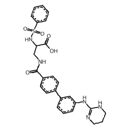 O=C(NCC(NS(=O)(=O)c1ccccc1)C(=O)O)c1ccc(-c2cccc(NC3=NCCCN3)c2)cc1